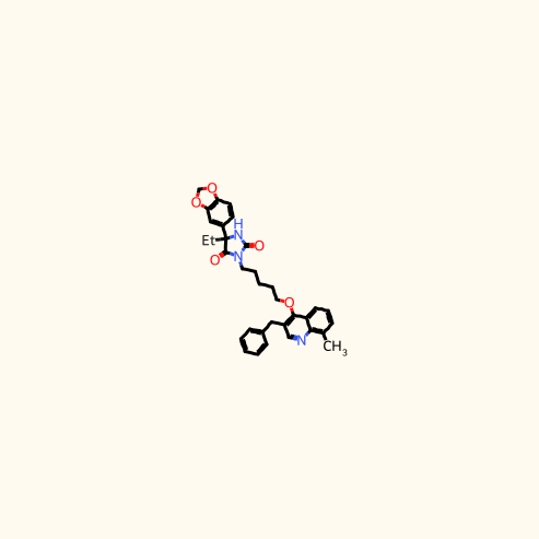 CCC1(c2ccc3c(c2)OCO3)NC(=O)N(CCCCCOc2c(Cc3ccccc3)cnc3c(C)cccc23)C1=O